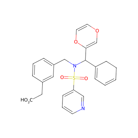 O=C(O)Cc1cccc(CN(C(C2=CC=CCC2)C2=COC=CO2)S(=O)(=O)c2cccnc2)c1